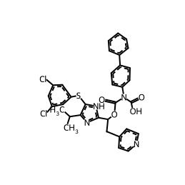 CC(C)c1nc(C(Cc2ccncc2)OC(=O)N(C(=O)O)c2ccc(-c3ccccc3)cc2)[nH]c1Sc1cc(Cl)cc(Cl)c1